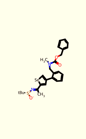 C/C(=N\[S@+]([O-])C(C)(C)C)c1cc(-c2ccccc2CN(C)C(=O)OCc2ccccc2)c[se]1